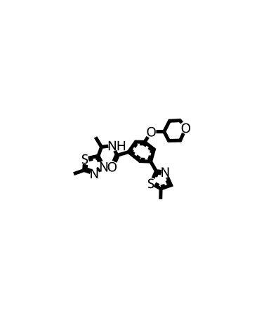 Cc1cnc(-c2cc(OC3CCOCC3)cc(C(=O)NC(C)c3nnc(C)s3)c2)s1